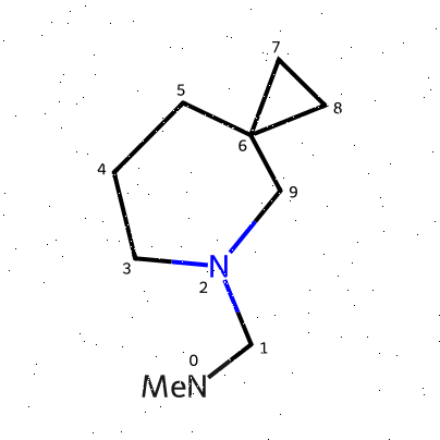 CNCN1CCCC2(CC2)C1